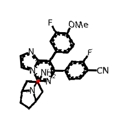 COc1ccc(-c2c(-c3ccc(C#N)c(F)c3)nc(N3C4CCC3CC(N)C4)n3ccnc23)cc1F